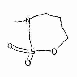 CN1CCCOS1(=O)=O